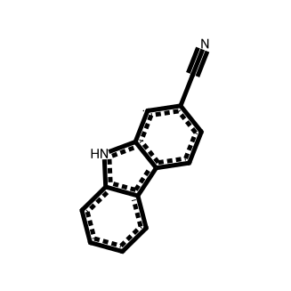 N#Cc1[c]c2[nH]c3ccccc3c2cc1